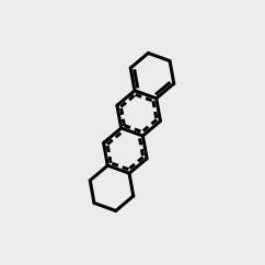 C1=c2cc3cc4c(cc3cc2=CCC1)CCCC4